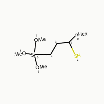 CCCCCCC(S)CC[Si](OC)(OC)OC